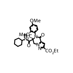 CCOC(=O)c1cc2n(n1)CC(C)(C(=O)NC1CCCCC1)N(c1ccc(OC)cc1OC)C2=O